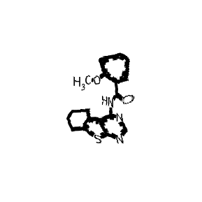 COc1ccccc1C(=O)Nc1ncnc2sc3c(c12)CCCC3